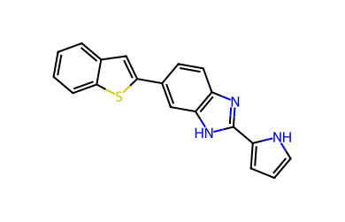 c1c[nH]c(-c2nc3ccc(-c4cc5ccccc5s4)cc3[nH]2)c1